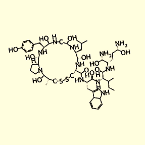 CCC(C)[C@H](NC(=O)[C@H](CC1=CNC2C=CC=CC12)N[C@H](O)[C@@H]1CSSC[C@H](C)[C@@H](O)N2CCC[C@H]2[C@H](O)N[C@@H](Cc2ccc(O)cc2)[C@@H](O)NC[C@@H](O)N[C@@H](CC(C)C)[C@H](O)N1)[C@@H](O)N[C@@H](CC[C@H](N)O)[C@@H](N)O